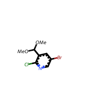 COC(OC)c1cc(Br)cnc1Cl